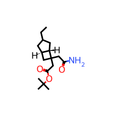 CCC1C[C@@H]2CC(CC(N)=O)(CC(=O)OC(C)(C)C)[C@H]2C1